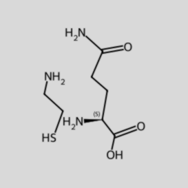 NC(=O)CC[C@H](N)C(=O)O.NCCS